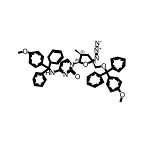 COc1ccc(C(OC[C@]2(N=[N+]=[N-])C[C@H](C)[C@H](n3ccc(NC(c4ccccc4)(c4ccc(OC)cc4)C4C=CC=CC4)nc3=O)O2)(c2ccccc2)c2ccccc2)cc1